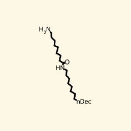 CCCCCCCCCCCCCCCCCCNC(=O)CCCCCCCCN